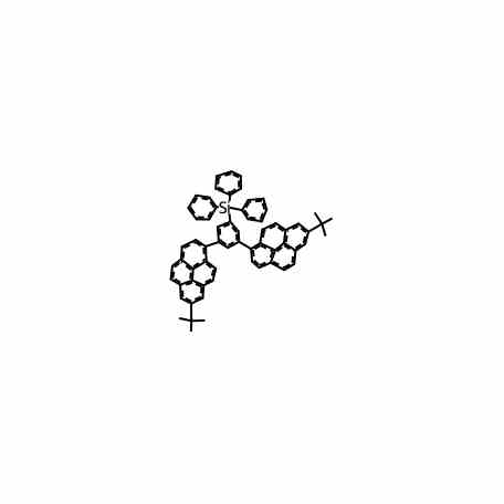 CC(C)(C)c1cc2ccc3ccc(-c4cc(-c5ccc6ccc7cc(C(C)(C)C)cc8ccc5c6c78)cc([Si](c5ccccc5)(c5ccccc5)c5ccccc5)c4)c4ccc(c1)c2c34